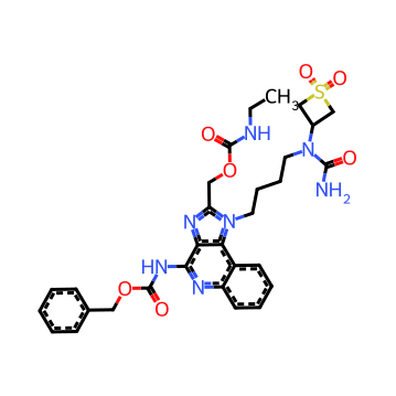 CCNC(=O)OCc1nc2c(NC(=O)OCc3ccccc3)nc3ccccc3c2n1CCCCN(C(N)=O)C1CS(=O)(=O)C1